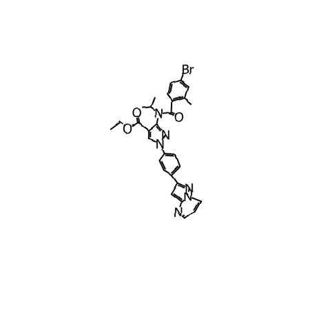 CCOC(=O)c1cn(-c2ccc(-c3cc4ncccn4n3)cc2)nc1N(C(=O)c1ccc(Br)cc1C)C(C)C